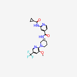 COc1cc(C(F)(F)F)cnc1N1CCC[C@@H](NC(=O)c2ccnc(NC(=O)C3CC3)c2)C1